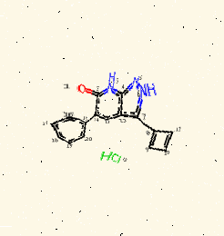 Cl.O=c1[nH]c2n[nH]c(C3=CC=C3)c2cc1-c1ccccc1